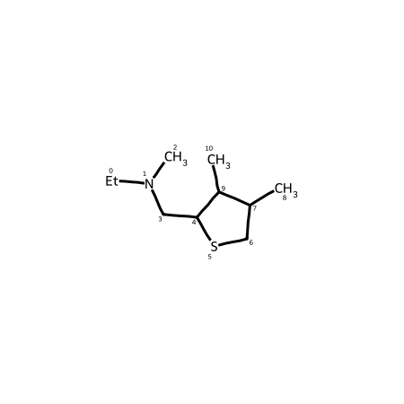 CCN(C)CC1SCC(C)C1C